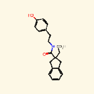 O=C(O)CC1(C(=O)NCCc2ccc(O)cc2)Cc2ccccc2C1